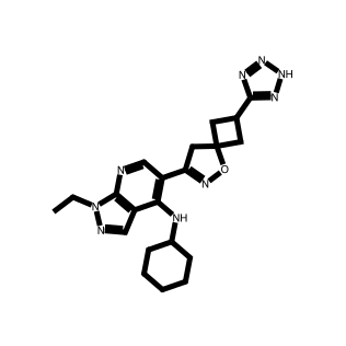 CCn1ncc2c(NC3CCCCC3)c(C3=NOC4(C3)CC(c3nn[nH]n3)C4)cnc21